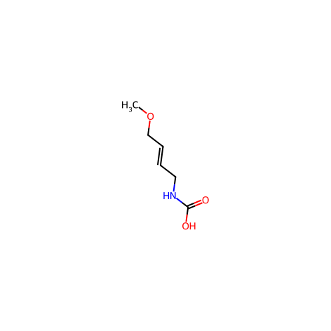 COCC=CCNC(=O)O